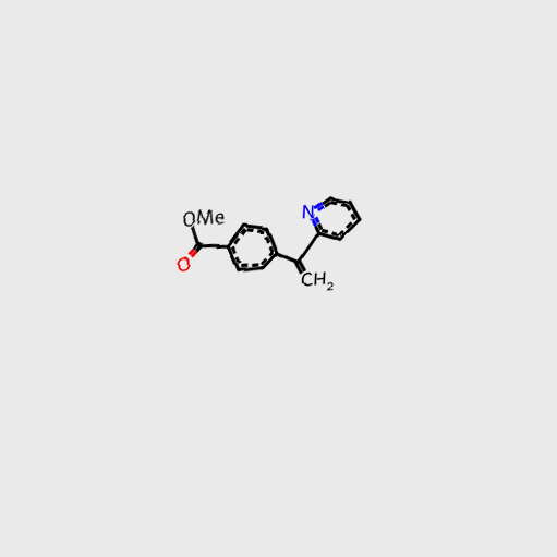 C=C(c1ccc(C(=O)OC)cc1)c1ccccn1